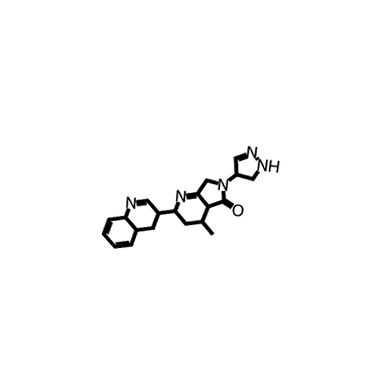 CC1CC(C2C=NC3C=CC=CC3C2)N=C2CN(C3C=NNC3)C(=O)C21